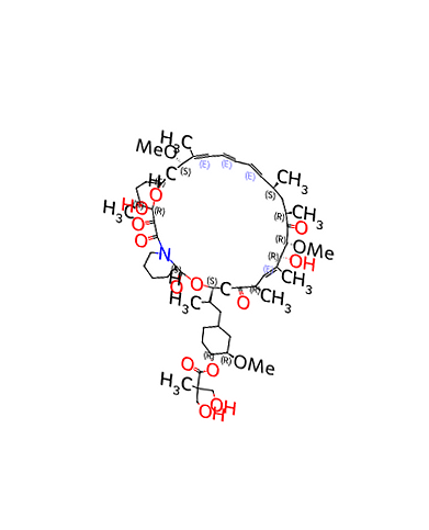 CO[C@H]1C[C@@H]2CC[C@@H](C)[C@@](O)(O2)C(=O)C(=O)N2CCCC[C@H]2C(=O)O[C@H](C(C)CC2CC[C@@H](OC(=O)C(C)(CO)CO)[C@H](OC)C2)CC(=O)[C@H](C)/C=C(\C)[C@@H](O)[C@@H](OC)C(=O)[C@H](C)C[C@H](C)/C=C/C=C/C=C/1C